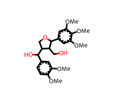 COc1ccc(C(O)C2COC(c3cc(OC)c(OC)c(OC)c3)C2CO)cc1OC